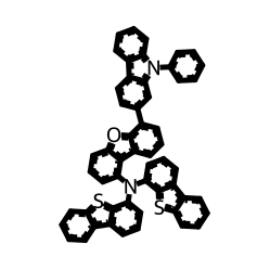 c1ccc(-n2c3ccccc3c3ccc(-c4cccc5c4oc4cccc(N(c6cccc7c6sc6ccccc67)c6cccc7c6sc6ccccc67)c45)cc32)cc1